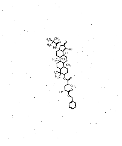 CC[C@H](C[C@H](C)C(=O)O[C@H]1CC[C@@]2(C)C(CC[C@]3(C)C2CC[C@@H]2C4=C(C(C)C)C(=O)C[C@]4(NC(=O)C(C)(C)N)CC[C@]23C)C1(C)C)C(=O)OCc1ccccc1